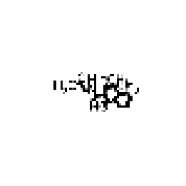 CC(=O)CNC(=O)C1=C(O)c2ccccc2C(C)(C)C1=O